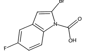 O=C(O)n1c(Br)cc2cc(F)ccc21